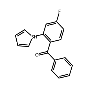 O=C(c1ccccc1)c1ccc(F)cc1[SH]1C=CC=C1